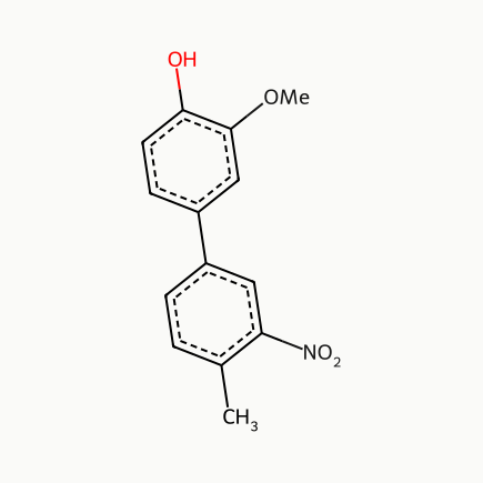 COc1cc(-c2ccc(C)c([N+](=O)[O-])c2)ccc1O